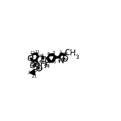 Cc1cc(-c2ccc(OC[C@H]3CCOC[C@@H]3NS(=O)(=O)C3CC3)c(F)c2)no1